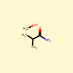 CC(C)C(N)=O.CO